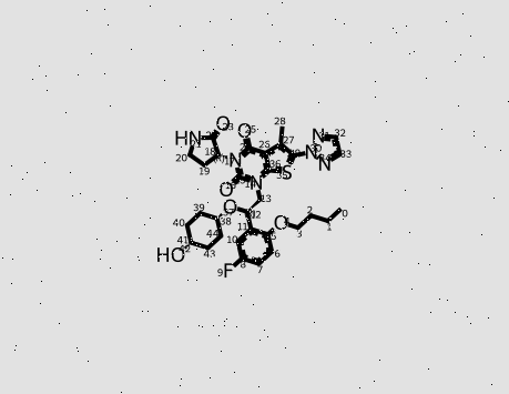 CCCCOc1ccc(F)cc1[C@H](Cn1c(=O)n([C@@H]2CCNC2=O)c(=O)c2c(C)c(-n3nccn3)sc21)O[C@H]1CC[C@@H](O)CC1